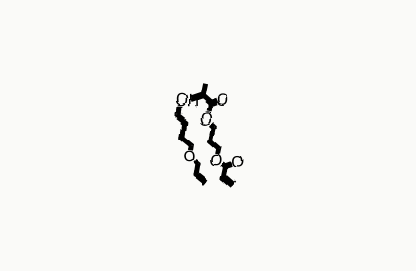 C=CC(=O)OCCCOC(=O)C(=C)C.C=CCOCCCCO